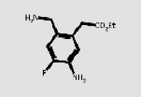 CCOC(=O)Cc1cc(N)c(F)cc1CN